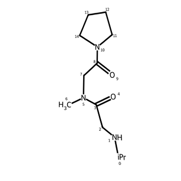 CC(C)NCC(=O)N(C)CC(=O)N1CCCC1